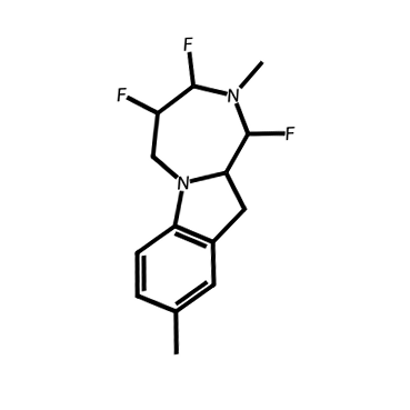 Cc1ccc2c(c1)CC1C(F)N(C)C(F)C(F)CN21